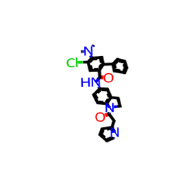 CN(C)c1cc(-c2ccccc2)c(C(=O)Nc2ccc3c(c2)CCN3C(=O)Cc2ccccn2)cc1Cl